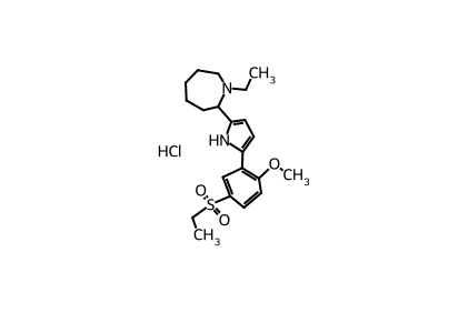 CCN1CCCCCC1c1ccc(-c2cc(S(=O)(=O)CC)ccc2OC)[nH]1.Cl